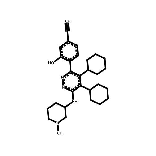 C#Cc1ccc(-c2nnc(NC3CCCN(C)C3)c(C3CCCCC3)c2C2CCCCC2)c(O)c1